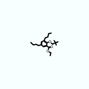 CCCCc1cc(CCCC)c(OCC(C)(C)C)c(C(=O)OCC)c1